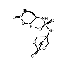 CCOP(=O)(NC12COP(=O)(OC1)OC2)NC12COP(=O)(OC1)OC2